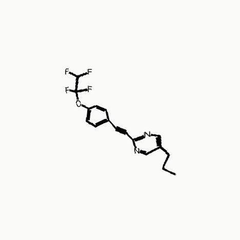 CCCc1cnc(C#Cc2ccc(OC(F)(F)C(F)F)cc2)nc1